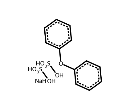 O=S(=O)(O)O.O=S(=O)(O)O.[NaH].c1ccc(Oc2ccccc2)cc1